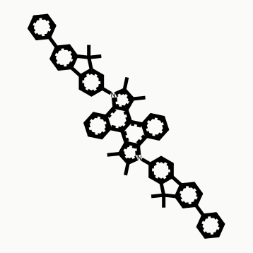 Cc1c(C)n(-c2ccc3c(c2)C(C)(C)c2cc(-c4ccccc4)ccc2-3)c2c3ccccc3c3c4c(C)c(C)n(-c5ccc6c(c5)C(C)(C)c5cc(-c7ccccc7)ccc5-6)c4c4ccccc4c3c12